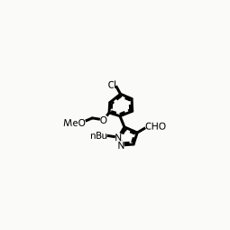 CCCCn1ncc(C=O)c1-c1ccc(Cl)cc1OCOC